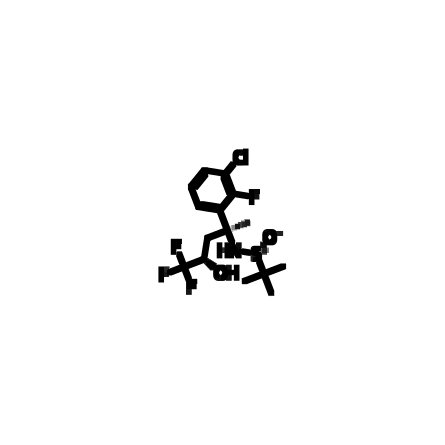 CC(C)(C)[S@@+]([O-])N[C@@](C)(C[C@@H](O)C(F)(F)F)c1cccc(Cl)c1F